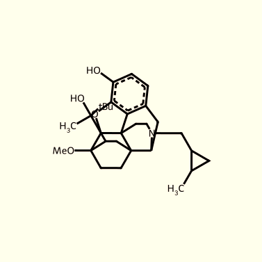 COC12CCC3(CC1C(C)(O)C(C)(C)C)C1Cc4ccc(O)c5c4C3(CCN1CC1CC1C)C2O5